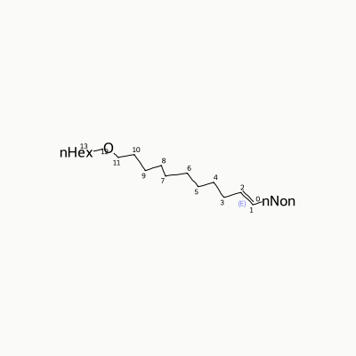 CCCCCCCCC/C=C/CCCCCCCCCOCCCCCC